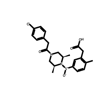 Cc1ccc([S+]([O-])N2[C@H](C)CN(C(=O)Cc3ccc(Cl)cc3)C[C@@H]2C)cc1CC(=O)O